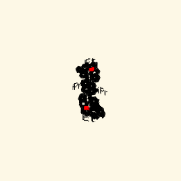 CCC(C)(C)c1ccccc1-n1c2ccccc2c2ccc(N(c3cccc4c3CCCC4)c3cc(C(C)C)c4ccc5c(N(c6ccc7c8ccccc8n(-c8ccccc8C(C)(C)CC)c7c6)c6cccc7c6CCCC7)cc(C(C)C)c6ccc3c4c65)cc21